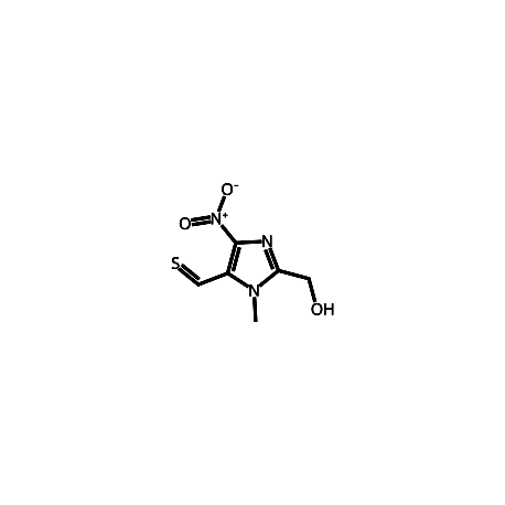 Cn1c(CO)nc([N+](=O)[O-])c1C=S